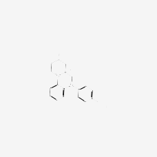 O=C(O)[C@@H]1CCN2c3ccccc3N(c3ccc(C(F)(F)F)cc3)C[C@@H]2C1